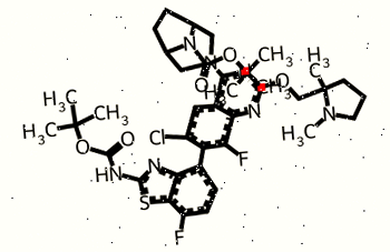 CN1CCCC1(C)COc1nc(N2CC3CCC(C2)N3C(=O)OC(C)(C)C)c2cc(Cl)c(-c3ccc(F)c4sc(NC(=O)OC(C)(C)C)nc34)c(F)c2n1